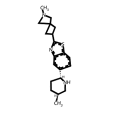 C[C@H]1CC[C@H](c2ccc3sc(C4CC5(C4)CN(C)C5)nc3c2)NC1